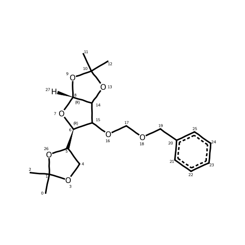 CC1(C)OCC([C@H]2O[C@@H]3OC(C)(C)OC3C2OCOCc2ccccc2)O1